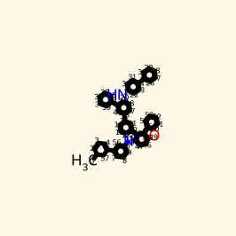 CC1C=CC=C(c2cccc(-n3c4ccc(-c5ccc(Nc6ccc(-c7ccccc7)cc6)c(-c6ccccc6)c5)cc4c4c5c(ccc43)oc3ccccc35)c2)C1